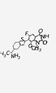 COc1c(-c2cc3c(s2)CCC(C(C)N)C3)c(F)cc2c(=O)[nH]c(=O)n(C3CC3)c12